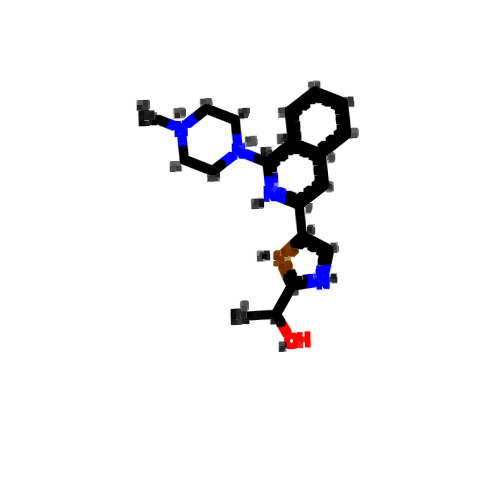 CCC(O)c1ncc(-c2cc3ccccc3c(N3CCN(CC)CC3)n2)s1